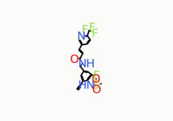 C#Cc1cc(CNC(=O)C=Cc2ccc(C(F)(F)F)nc2)cc(F)c1NS(C)(=O)=O